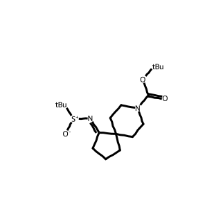 CC(C)(C)OC(=O)N1CCC2(CCCC2=N[S+]([O-])C(C)(C)C)CC1